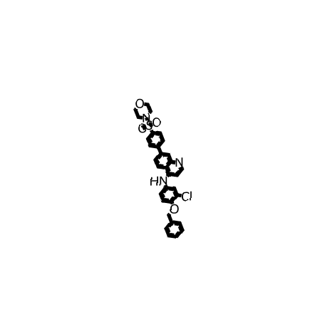 O=S(=O)(c1ccc(-c2ccc3c(Nc4ccc(OCc5ccccc5)c(Cl)c4)ccnc3c2)cc1)N1CCOCC1